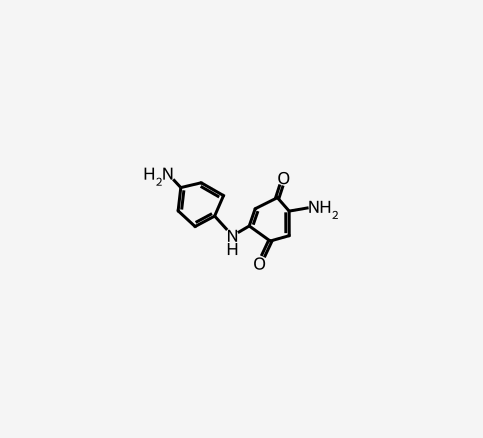 NC1=CC(=O)C(Nc2ccc(N)cc2)=CC1=O